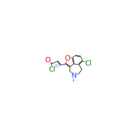 CN1CCc2c(Cl)ccc3oc(/C=C/C(=O)Cl)c(c23)C1